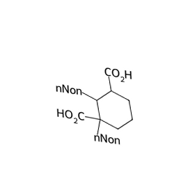 CCCCCCCCCC1C(C(=O)O)CCCC1(CCCCCCCCC)C(=O)O